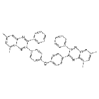 Cc1cc(C)c2nc(-c3ccc(Oc4ccc(-c5nc6c(C)cc(C)cc6nc5-c5ccccc5)cc4)cc3)c(-c3ccccc3)nc2c1